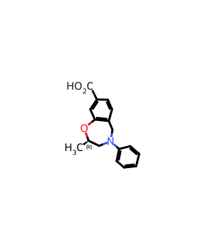 C[C@@H]1CN(c2ccccc2)Cc2ccc(C(=O)O)cc2O1